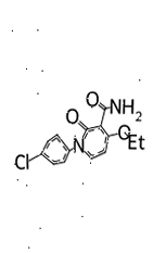 CCOc1ccn(-c2ccc(Cl)cc2)c(=O)c1C(N)=O